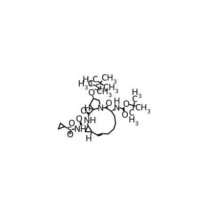 CC(C)(C)OC(=O)N[C@H]1CCCC/C=C\[C@@H]2C[C@@]2(C(=O)NS(=O)(=O)C2CC2)NC(=O)[C@@H]2C[C@@H](O[Si](C)(C)C(C)(C)C)CN2C1=O